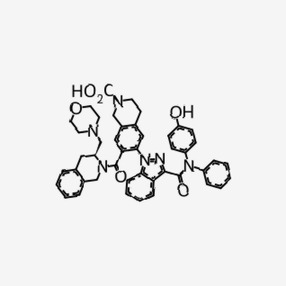 O=C(O)N1CCc2cc(-n3nc(C(=O)N(c4ccccc4)c4ccc(O)cc4)c4ccccc43)c(C(=O)N3Cc4ccccc4C[C@H]3CN3CCOCC3)cc2C1